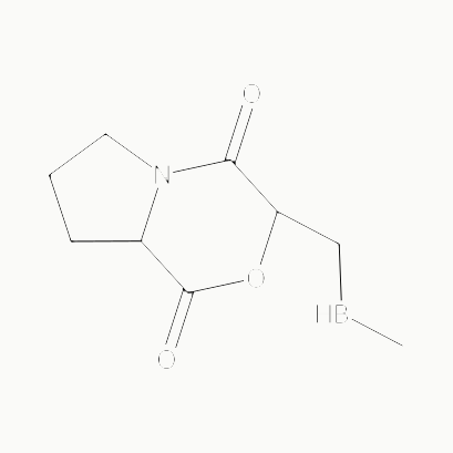 CBC[C@@]1(C)OC(=O)C2CCCN2C1=O